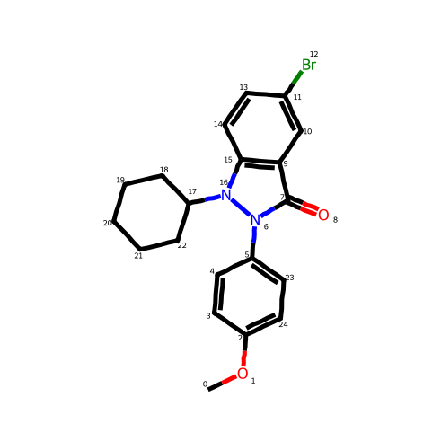 COc1ccc(-n2c(=O)c3cc(Br)ccc3n2C2CCCCC2)cc1